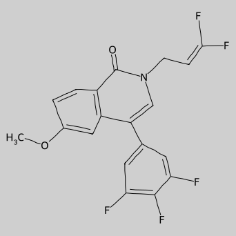 COc1ccc2c(=O)n(CC=C(F)F)cc(-c3cc(F)c(F)c(F)c3)c2c1